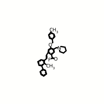 Cc1ccc(COc2cc(/C=C/c3cccc(-c4ccccc4)c3C)c(C(=O)F)cc2CN2CCCCC2)cc1